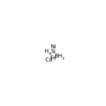 B.[Cd].[Fe].[Ni].[SiH4]